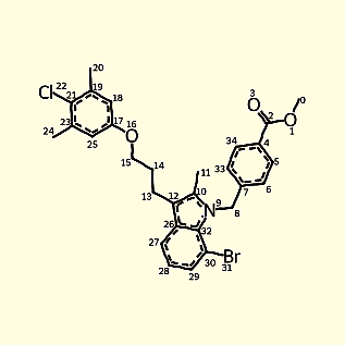 COC(=O)c1ccc(Cn2c(C)c(CCCOc3cc(C)c(Cl)c(C)c3)c3cccc(Br)c32)cc1